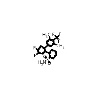 Cc1cc(-c2cc(F)c(F)cc2-c2ccccc2S(N)(=O)=O)cc(C)c1C(F)(F)F